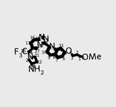 COCCCOc1ccc2ccc(-c3nnc4ccc([C@@H](N5CCC(N)C5)C(F)(F)F)cn34)nc2c1